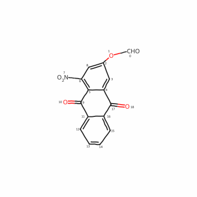 O=COc1cc2c(c([N+](=O)[O-])c1)C(=O)c1ccccc1C2=O